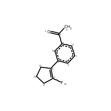 CC(=O)c1cccc(C2=C(F)CCC2)c1